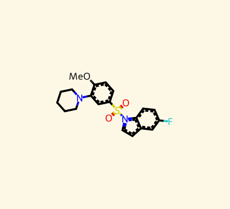 COc1ccc(S(=O)(=O)n2ccc3cc(F)ccc32)cc1N1CCCCC1